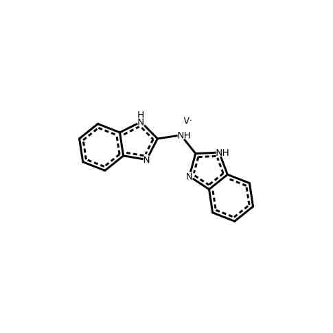 [V].c1ccc2[nH]c(Nc3nc4ccccc4[nH]3)nc2c1